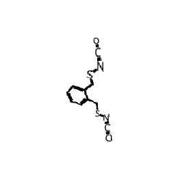 O=C=NSCc1ccccc1CSN=C=O